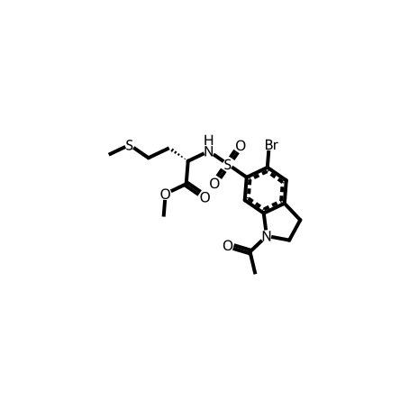 COC(=O)[C@H](CCSC)NS(=O)(=O)c1cc2c(cc1Br)CCN2C(C)=O